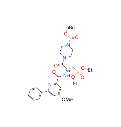 CCCCOC(=O)N1CCN(C(=O)[C@H](CP(=O)(OCC)OCC)NC(=O)c2cc(OC)cc(-c3ccccc3)n2)CC1